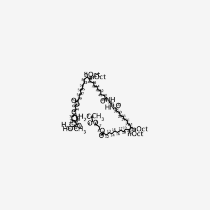 C=C(C)C(=O)OCCCOC(=O)CCCCCCCCC(CCCCCCCC)C(CCCCCCCC)CCCCCCCCC(=O)NCCNC(=O)CCCCCCCCC(CCCCCCCC)C(CCCCCCCC)CCCCCCCCC(=O)OCCOc1ccc(C(=O)C(C)(C)O)cc1